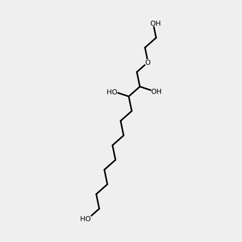 OCCCCCCCCCC(O)C(O)COCCO